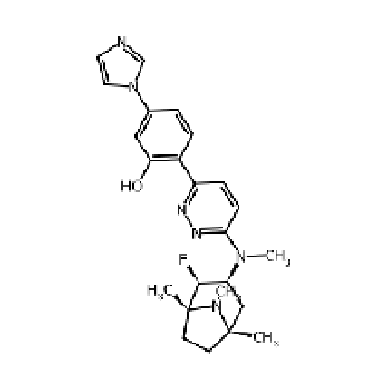 CN(c1ccc(-c2ccc(-n3ccnc3)cc2O)nn1)[C@H]1C[C@]2(C)CC[C@](C)([C@H]1F)N2C